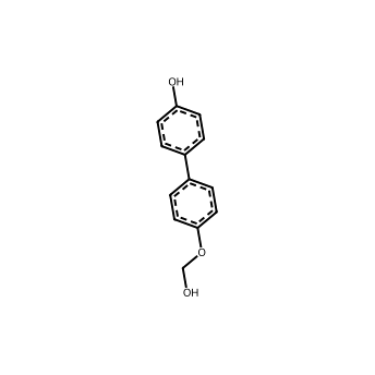 OCOc1ccc(-c2ccc(O)cc2)cc1